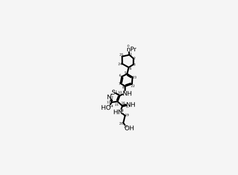 CCCC1CCC(c2ccc(Nc3snc(O)c3C(=N)NCCO)cc2)CC1